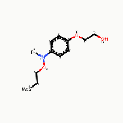 CCN(OCCSC)c1ccc(OCCO)cc1